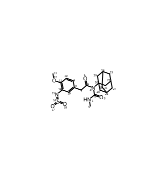 CNC(=O)N(C(=O)Cc1ccc(OC)c(N=S(=O)=O)c1)C12CC3CC(CC(C3)C1)C2